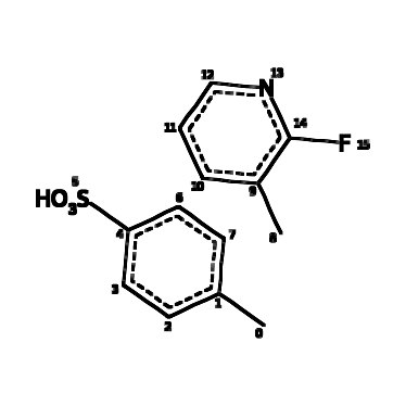 Cc1ccc(S(=O)(=O)O)cc1.Cc1cccnc1F